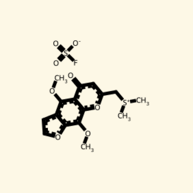 COc1c2occc2c(OC)c2c(=O)cc(C[S+](C)C)oc12.O=S(=O)([O-])F